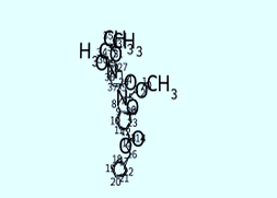 CCOC(=O)C(=O)N(Cc1ccc(C(=O)OCc2ccccc2)cc1)C1CCN(C(=O)OC(C)(C)C)CC1